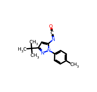 Cc1ccc(-n2nc(C(C)(C)C)cc2N=C=O)cc1